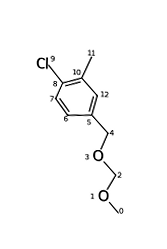 COCOCc1ccc(Cl)c(C)c1